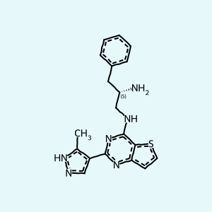 Cc1[nH]ncc1-c1nc(NC[C@@H](N)Cc2ccccc2)c2sccc2n1